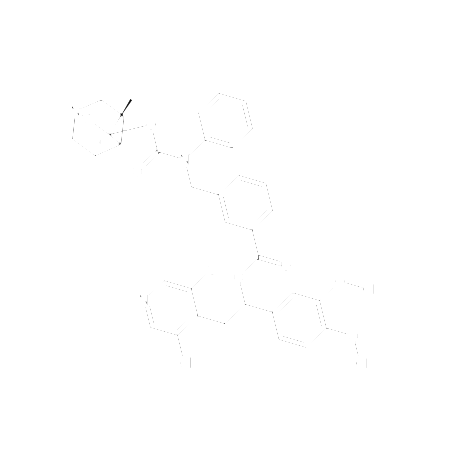 COc1ccc(C(Cc2c(Cl)cncc2Cl)OC(=O)c2cccc(CN(C(=O)O[C@H]3CN4CCC3CC4)c3ccccc3)c2)cc1OC